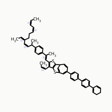 C/C=C\C=C/CCC(/C=C\C(C)c1ccc(/C(C)=C/c2sc3c(c2/C=C\C)SC2=CC3C=CC(c3ccc(-c4ccc(C5=CCCC=C5)cc4)cc3)=C2)cc1)=C/C